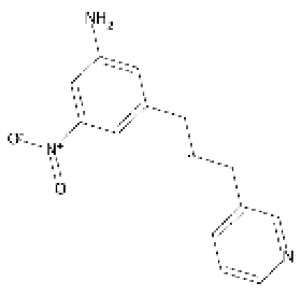 Nc1cc(C[CH]Cc2cccnc2)cc([N+](=O)[O-])c1